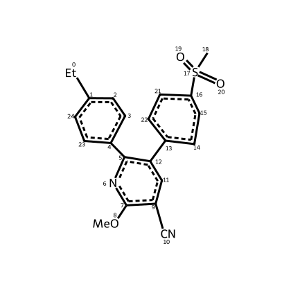 CCc1ccc(-c2nc(OC)c(C#N)cc2-c2ccc(S(C)(=O)=O)cc2)cc1